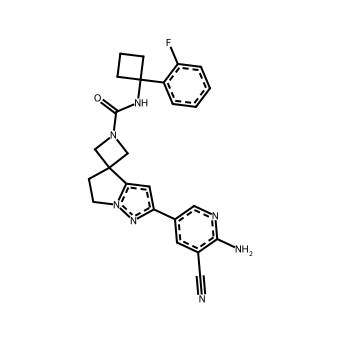 N#Cc1cc(-c2cc3n(n2)CCC32CN(C(=O)NC3(c4ccccc4F)CCC3)C2)cnc1N